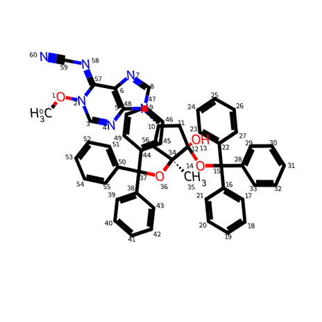 COn1cnc2c(ncn2[C@@H]2C[C@@](O)(OC(c3ccccc3)(c3ccccc3)c3ccccc3)[C@@](C)(OC(c3ccccc3)(c3ccccc3)c3ccccc3)C2)c1=NC#N